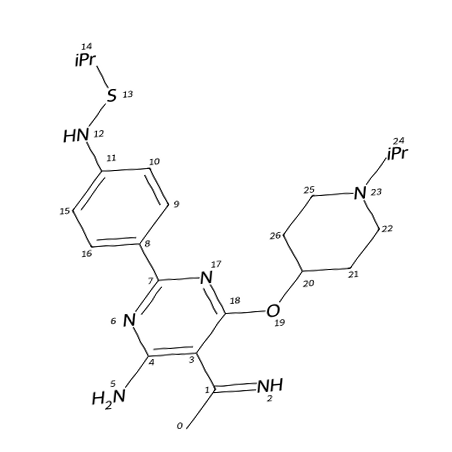 CC(=N)c1c(N)nc(-c2ccc(NSC(C)C)cc2)nc1OC1CCN(C(C)C)CC1